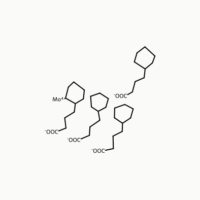 O=C([O-])CCCC1CCCCC1.O=C([O-])CCCC1CCCCC1.O=C([O-])CCCC1CCCCC1.O=C([O-])CCCC1CCCCC1.[Mo+4]